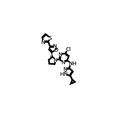 Clc1cc(Nc2cc(C3CC3)[nH]n2)nc(N2CCC[C@H]2c2cc(-c3nccs3)no2)n1